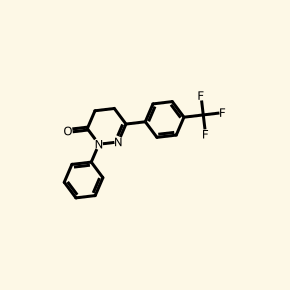 O=C1CCC(c2ccc(C(F)(F)F)cc2)=NN1c1ccccc1